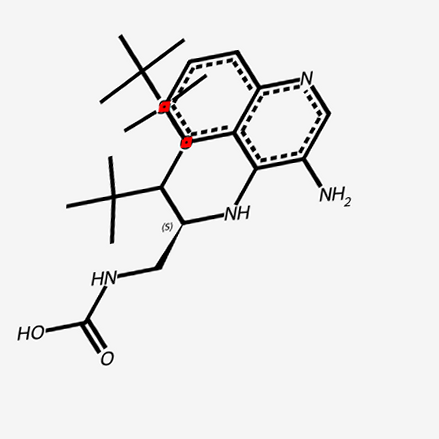 CC(C)(C)C(O[Si](C)(C)C(C)(C)C)[C@H](CNC(=O)O)Nc1c(N)cnc2ccccc12